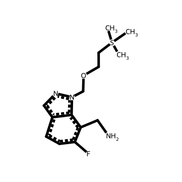 CS(C)(C)CCOCn1ncc2ccc(F)c(CN)c21